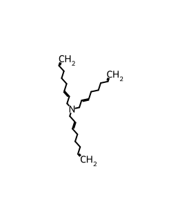 C=CCCC/C=C/CN(C/C=C/CCCC=C)C/C=C/CCCC=C